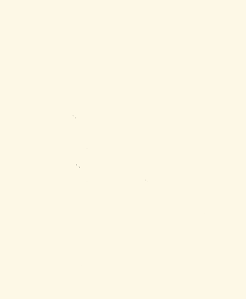 COCCOC(=O)OC1=C(Sc2ccc(Cl)cc2Cl)C(=O)NC(c2ccsc2)(c2cccc(OCC3CCCC3)n2)C1